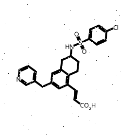 O=C(O)C=Cc1cc(Cc2cccnc2)cc2c1CCC(NS(=O)(=O)c1ccc(Cl)cc1)C2